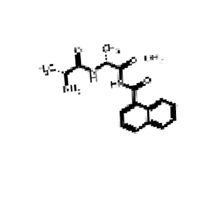 C[C@@H](N)C(=O)N[C@H](C)C(=O)NC(=O)c1cccc2ccccc12.O